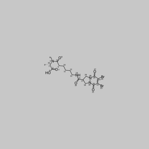 C[C@@H](C(=O)O)N(C)C(=O)CCCCCNC(=O)C1Cn2c(=O)c(Br)c(Br)c(=O)n2C1